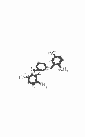 Cc1ccc(C)c(C[C@@H]2CCC[C@@](C=O)(Cc3cc(C)ccc3C)C2)c1